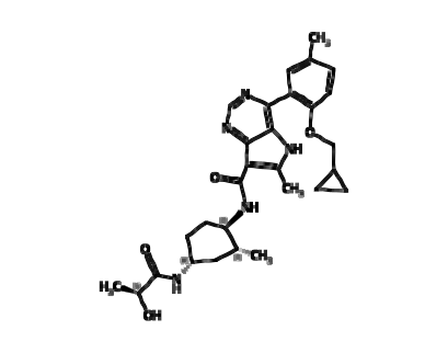 Cc1ccc(OCC2CC2)c(-c2ncnc3c(C(=O)N[C@@H]4CC[C@@H](NC(=O)[C@H](C)O)C[C@H]4C)c(C)[nH]c23)c1